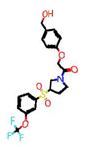 O=C(COc1ccc(CO)cc1)N1CCC(S(=O)(=O)c2cccc(OC(F)(F)F)c2)C1